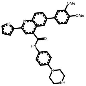 COc1ccc(-c2ccc3nc(-c4ccco4)cc(C(=O)Nc4ccc(N5CCNCC5)cc4)c3c2)cc1OC